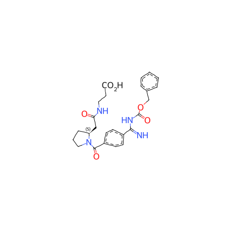 N=C(NC(=O)OCc1ccccc1)c1ccc(C(=O)N2CCC[C@H]2CC(=O)NCCC(=O)O)cc1